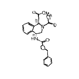 COC(=O)[C@@H]1c2ccccc2[C@@H](NC(=O)OCc2ccccc2)CN1C(=O)Cl